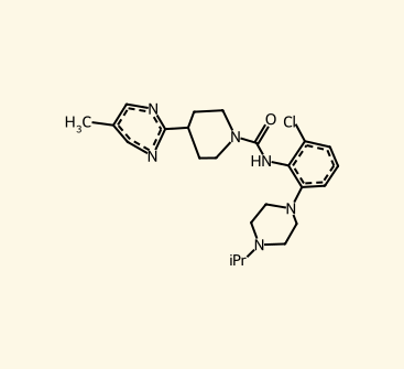 Cc1cnc(C2CCN(C(=O)Nc3c(Cl)cccc3N3CCN(C(C)C)CC3)CC2)nc1